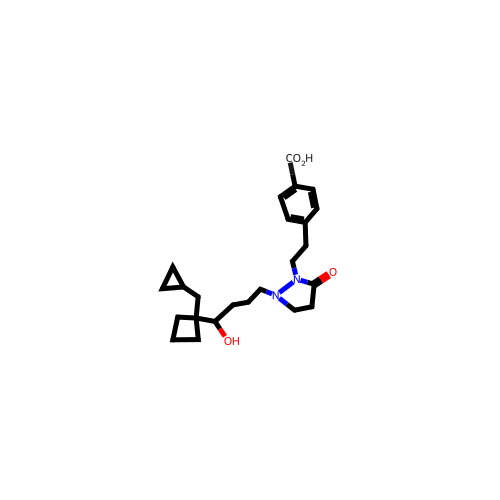 O=C(O)c1ccc(CCN2C(=O)CCN2CCCC(O)C2(CC3CC3)CCC2)cc1